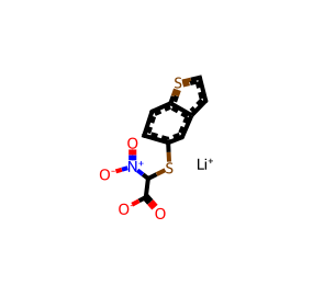 O=C([O-])C(Sc1ccc2sccc2c1)[N+](=O)[O-].[Li+]